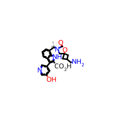 C[C@@H](c1cccc2c(-c3cncc(O)c3)c(C(=O)O)[nH]c12)N1CC2(CC(CN)C2)OC1=O